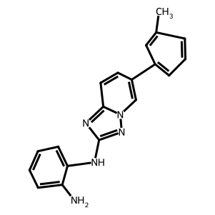 Cc1cccc(-c2ccc3nc(Nc4ccccc4N)nn3c2)c1